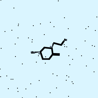 C=C1CC[C@H](C(C)(C)C)C[C@@H]1CCC(C)=O